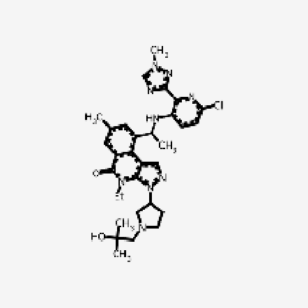 CCn1c(=O)c2cc(C)cc(C(C)Nc3ccc(Cl)nc3-c3ncn(C)n3)c2c2cnn(C3CCN(CC(C)(C)O)C3)c21